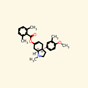 COc1ccc([C@@]23CC=C(OC(=O)c4c(C)cccc4C)C[C@@H]2N(C)CC3)cc1C